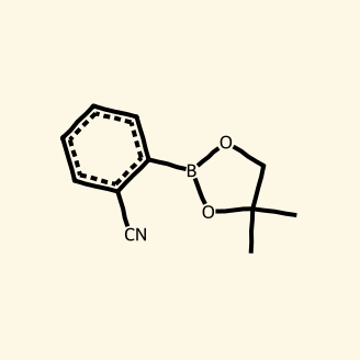 CC1(C)COB(c2ccccc2C#N)O1